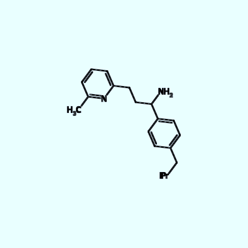 Cc1cccc(CCC(N)c2ccc(CC(C)C)cc2)n1